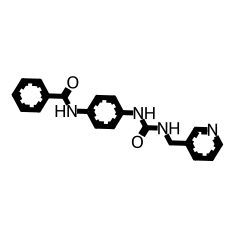 O=C(NCc1cccnc1)Nc1ccc(NC(=O)c2ccccc2)cc1